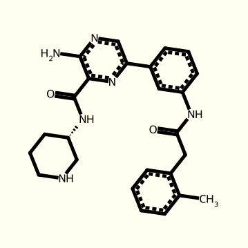 Cc1ccccc1CC(=O)Nc1cccc(-c2cnc(N)c(C(=O)N[C@H]3CCCNC3)n2)c1